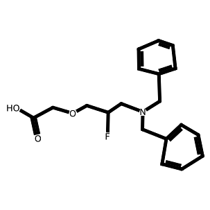 O=C(O)COCC(F)CN(Cc1ccccc1)Cc1ccccc1